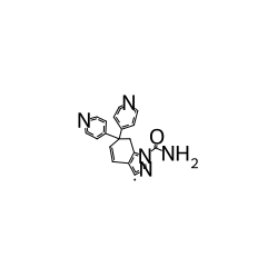 NC(=O)n1n[c]c2c1CC(c1ccncc1)(c1ccncc1)C=C2